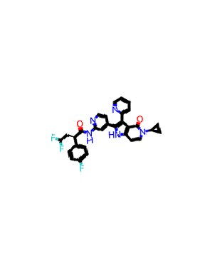 O=C(Nc1cc(-c2[nH]c3ccn(C4CC4)c(=O)c3c2-c2ccccn2)ccn1)[C@H](CC(F)F)c1ccc(F)cc1